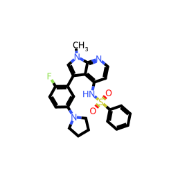 Cn1cc(-c2cc(N3CCCC3)ccc2F)c2c(NS(=O)(=O)c3ccccc3)ccnc21